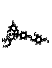 N=CN(N)CC(O)(c1ccc(F)cc1F)C(F)(F)c1ccc(OCc2ccc(C(F)(F)F)cc2F)cn1